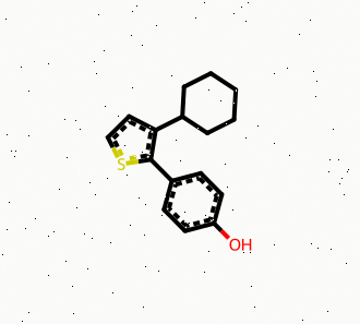 Oc1ccc(-c2sccc2C2CCCCC2)cc1